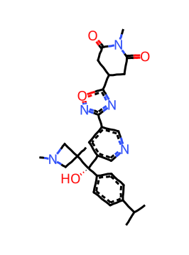 CC(C)c1ccc([C@](O)(c2cncc(-c3noc(C4CC(=O)N(C)C(=O)C4)n3)c2)C2(C)CN(C)C2)cc1